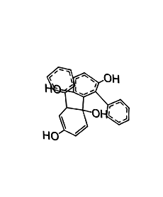 OC1=CC(c2ccccc2)C(O)(c2c(O)ccc(O)c2-c2ccccc2)C=C1